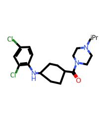 CC(C)N1CCN(C(=O)C2CCC(Nc3ccc(Cl)cc3Cl)CC2)CC1